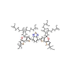 CCC(C)(C)c1cc2c(s1)-c1sc(-c3ccc(-c4cc5c(s4)-c4sc(C(C)(C)C)cc4OC5(CCC(C)CCCC(C)C)CCC(C)CCCC(C)C)c4nsnc34)cc1C(CCC(C)CCCC(C)C)(CCC(C)CCCC(C)C)O2